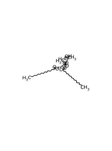 CCCCCCCCCCCCCCCC(=O)OC[C@@H](COP(=O)(OCC)OCC[N+](C)(C)O)OC(=O)CCCCCCCCCCCCCCC